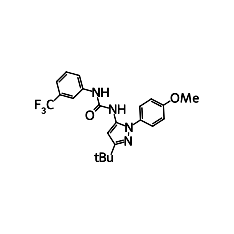 COc1ccc(-n2nc(C(C)(C)C)cc2NC(=O)Nc2cccc(C(F)(F)F)c2)cc1